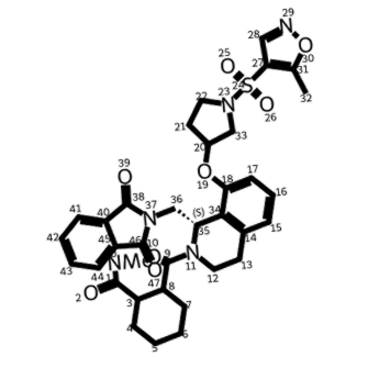 CNC(=O)C1CCCCC1C(=O)N1CCc2cccc(OC3CCN(S(=O)(=O)c4cnoc4C)C3)c2[C@H]1CN1C(=O)c2ccccc2C1=O